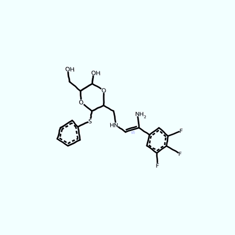 N/C(=C\NCC1OC(O)C(CO)OC1Sc1ccccc1)c1cc(F)c(F)c(F)c1